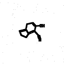 N#CC1=C2CCC=C2CC=C1O